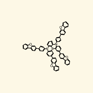 c1cc2c3c(c1)N(c1ccc(-c4ccc5c(c4)oc4ccccc45)cc1)c1ccc(-c4ccc5c(c4)oc4ccccc45)cc1B3c1cc(-c3ccc4c(c3)oc3ccccc34)ccc1N2c1ccc(-c2ccc3c(c2)oc2ccccc23)cc1